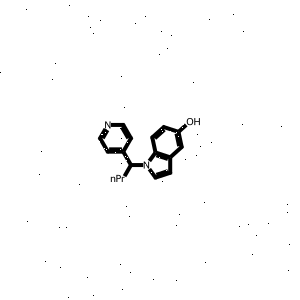 CCCC(c1ccncc1)n1ccc2cc(O)ccc21